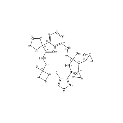 Cc1conc1C(=O)NC(C=O)(CNc1cccc(C2(C(=O)NCC3(C)CCC3)CCOC2)c1)C(C1CC1)C1CC1